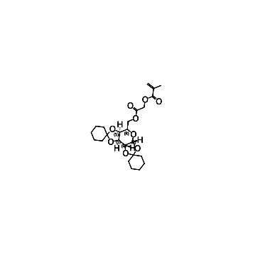 C=C(C)C(=O)OCC(=O)OC[C@H]1O[C@@H]2OC3(CCCCC3)O[C@@H]2[C@H]2OC3(CCCCC3)O[C@H]21